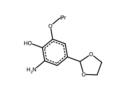 CC(C)Oc1cc(C2OCCO2)cc(N)c1O